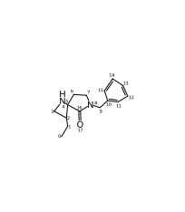 CCC1CNC12CCN(Cc1ccccc1)C2=O